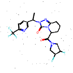 CC(c1ccc(C(F)(F)F)nc1)n1nc2n(c1=O)C(C(=O)N1CC(F)C(F)C1)CCC2